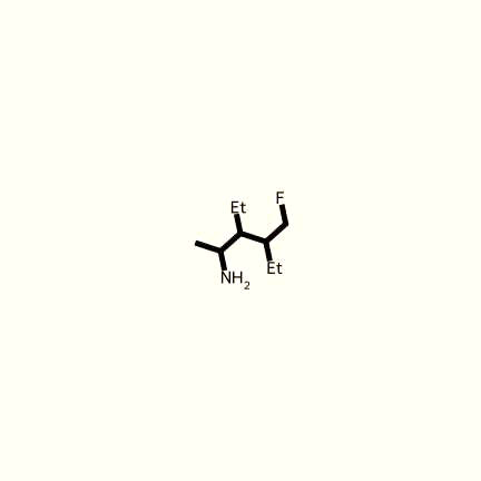 CCC(CF)C(CC)C(C)N